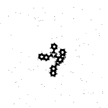 c1ccc(-c2nc(-c3ccc4ccccc4c3)nc(-c3c4nc(-c5ccc6ccccc6c5)sc4cc4oc5ccccc5c34)n2)cc1